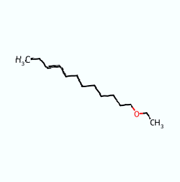 CCC=CCCCCCCCCOCC